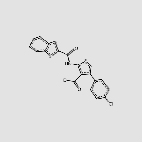 O=C(Nc1scc(-c2ccc(Cl)cc2)c1C(=O)O)c1cc2ccccc2s1